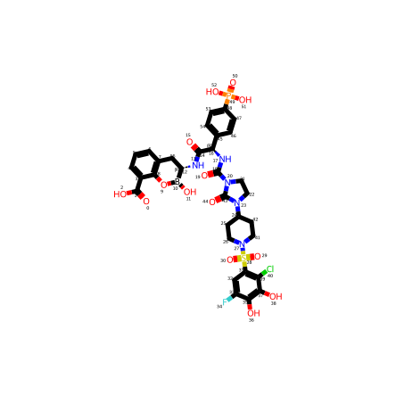 O=C(O)c1cccc2c1OB(O)[C@@H](NC(=O)[C@H](NC(=O)N1CCN(C3CCN(S(=O)(=O)c4cc(F)c(O)c(O)c4Cl)CC3)C1=O)c1ccc(P(=O)(O)O)cc1)C2